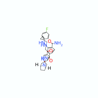 NC(=O)c1ccc(C(=O)N[C@H]2C[C@H]3CC[C@@H](C2)N3c2ccc(C(=O)CCNc3ccc(F)cc3)cn2)cc1NCC1CC1